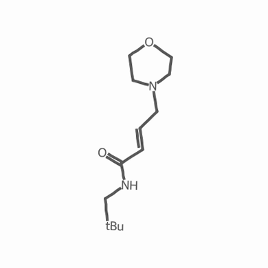 CC(C)(C)CNC(=O)C=CCN1CCOCC1